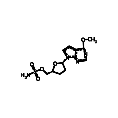 COc1ncnc2c1ccn2[C@H]1CC[C@@H](COS(N)(=O)=O)O1